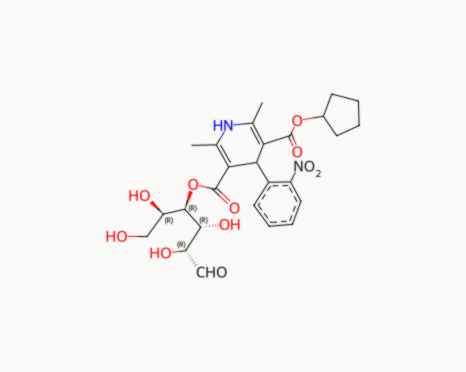 CC1=C(C(=O)OC2CCCC2)C(c2ccccc2[N+](=O)[O-])C(C(=O)O[C@@H]([C@H](O)[C@@H](O)C=O)[C@H](O)CO)=C(C)N1